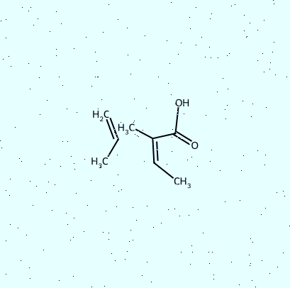 C=CC.CC=C(C)C(=O)O